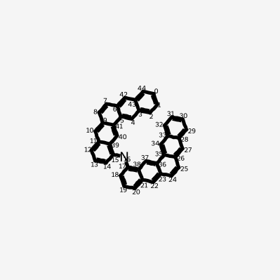 c1ccc2cc3c(ccc4cc5cccc([N]c6cccc7cc8ccc9cc%10ccccc%10cc9c8cc67)c5cc43)cc2c1